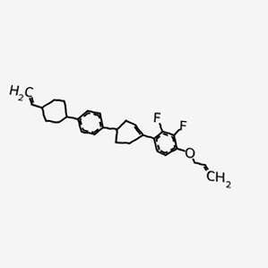 C=CCOc1ccc(C2=CCC(c3ccc(C4CCC(C=C)CC4)cc3)CC2)c(F)c1F